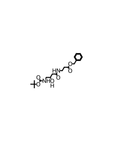 CC(C)(C)OC(=O)NCC(O)CC(=O)NCCC(=O)OCc1ccccc1